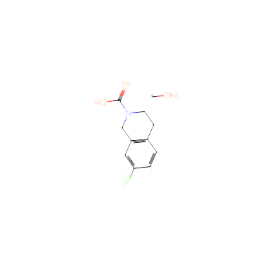 O=C(O)N1Cc2cc(F)ccc2C[C@H]1CO